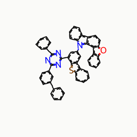 c1ccc(-c2cccc(-c3nc(-c4ccccc4)nc(-c4cc(-n5c6ccccc6c6ccc7oc8ccccc8c7c65)cc5c4sc4ccccc45)n3)c2)cc1